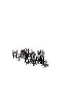 CC1(C)OB(c2c3ccccc3c(-c3cccc(-c4nc(-c5ccccc5)nc(C5C=CC=CC5)n4)c3)c3ccccc23)OC1(C)C